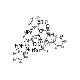 CC(C)CN(C(=O)[C@H](Cc1ccccc1)C[C@H](O[Si](C)(C)C(C)(C)C)[C@H](Cc1ccccc1)NC(=O)OC(C)(C)C)c1nc2ccccc2[nH]1